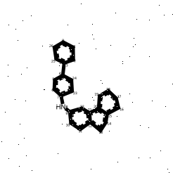 c1ccc(-c2ccc(Nc3ccc4ccc5ccccc5c4c3)cc2)cc1